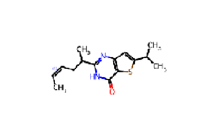 C/C=C\CC(C)c1nc2cc(C(C)C)sc2c(=O)[nH]1